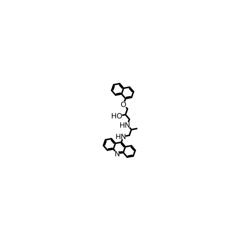 CC(CNc1c2ccccc2nc2ccccc12)NCC(O)COc1cccc2ccccc12